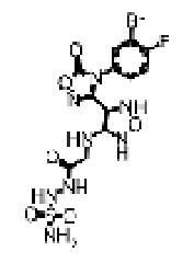 NS(=O)(=O)NNC(=O)CNC1NONC1c1noc(=O)n1-c1ccc(F)c(Br)c1